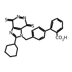 O=C(O)c1ccccc1-c1ccc(Cn2c(C3CCCCC3)nc3c2C(=S)N=NC3=S)cc1